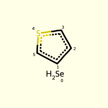 [SeH2].c1ccsc1